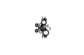 C[C@H]1CCCC2CC[C@@H]2CCCC1OC(=O)C1C(C(=O)OC2CCC[C@@H]3CCC3CCCCC3C[C@@H]32)C(c2ccccc2)C1c1ccccc1